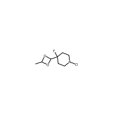 CC1OC(C2(F)CCN(Cl)CC2)O1